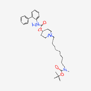 CN(CCCCCCCCCN1CCC(OC(=O)Nc2ccccc2-c2ccccc2)CC1)C(=O)OC(C)(C)C